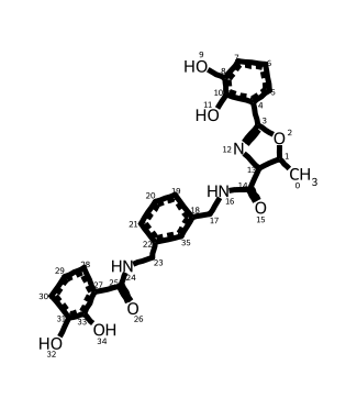 CC1OC(c2cccc(O)c2O)=NC1C(=O)NCc1cccc(CNC(=O)c2cccc(O)c2O)c1